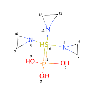 OP(O)(O)=[SH](N1CC1)(N1CC1)N1CC1